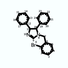 Brc1ccccc1CN1C=NC(c2ccccc2)C1c1ccccc1